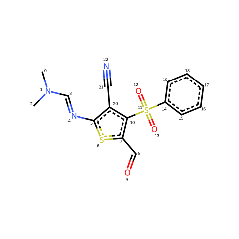 CN(C)C=Nc1sc(C=O)c(S(=O)(=O)c2ccccc2)c1C#N